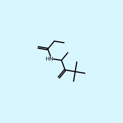 C=C(CC)NC(C)C(=C)C(C)(C)C